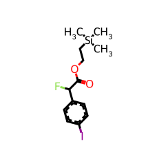 C[Si](C)(C)CCOC(=O)C(F)c1ccc(I)cc1